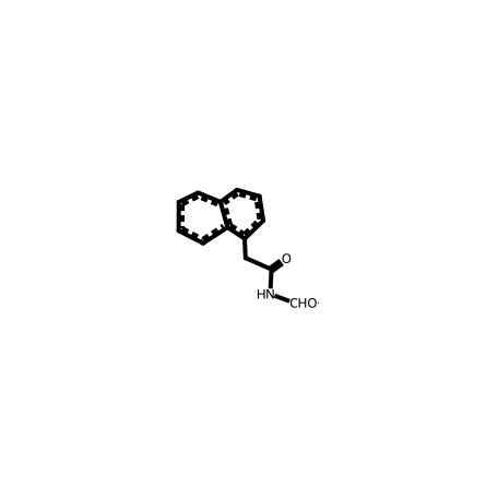 O=[C]NC(=O)Cc1cccc2ccccc12